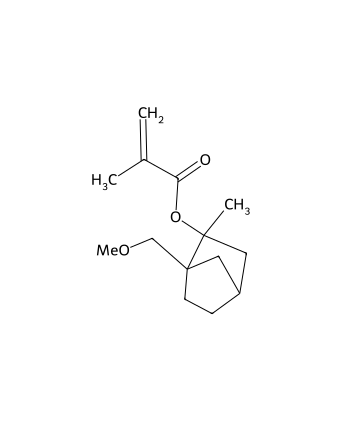 C=C(C)C(=O)OC1(C)CC2CCC1(COC)C2